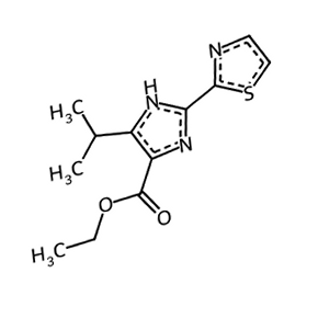 CCOC(=O)c1nc(-c2nccs2)[nH]c1C(C)C